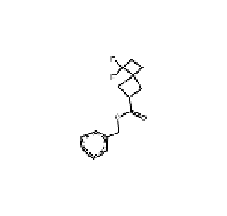 O=C(OCc1ccccc1)C1CC2(CCC2(F)F)C1